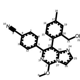 COc1nc(-c2ccc(C#N)cc2)c(-c2ccc(C)cc2CO)c2nccn12